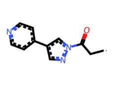 [CH2]CC(=O)n1cc(-c2ccncc2)cn1